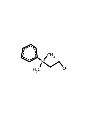 C[N+](C)(CC[O])c1ccccc1